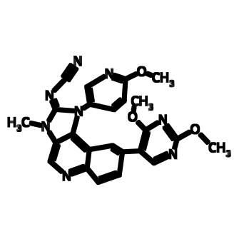 COc1ccc(-n2/c(=N\C#N)n(C)c3cnc4ccc(-c5cnc(OC)nc5OC)cc4c32)cn1